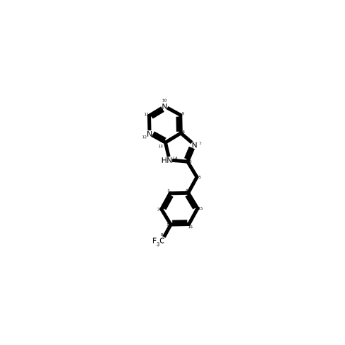 FC(F)(F)c1ccc(Cc2nc3cncnc3[nH]2)cc1